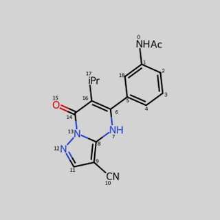 CC(=O)Nc1cccc(-c2[nH]c3c(C#N)cnn3c(=O)c2C(C)C)c1